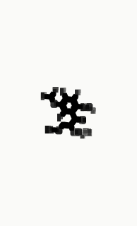 CCOC=C(C(=O)OCC)C(=O)c1c(F)c(OC(F)F)c(F)c(F)c1[N+](=O)[O-]